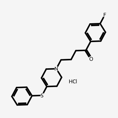 Cl.O=C(CCCN1CC=C(Sc2ccccc2)CC1)c1ccc(F)cc1